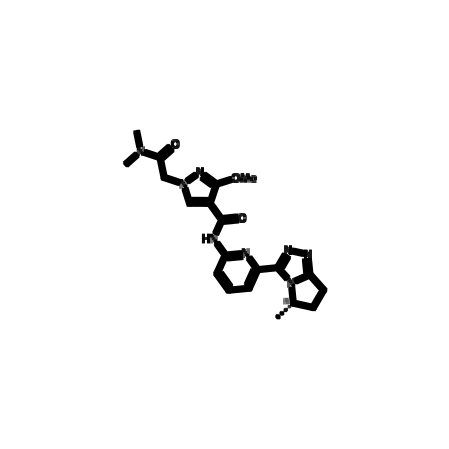 COc1nn(CC(=O)N(C)C)cc1C(=O)Nc1cccc(-c2nnc3n2[C@@H](C)CC3)n1